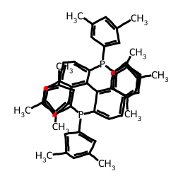 Cc1cc(C)cc(P(c2cc(C)cc(C)c2)c2ccc3ccc(C)cc3c2-c2c(P(c3cc(C)cc(C)c3)c3cc(C)cc(C)c3)ccc3ccc(C)cc23)c1